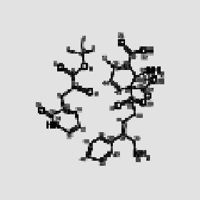 CC(C)(C)OC(=O)C(=O)Cc1ccc[nH]c1=O.CC1=C(C(=O)O)C(N)C(C(=O)O)(S(=O)(=O)CC=C(CN)c2ccccc2)C=C1